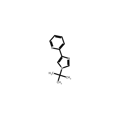 CC(C)(C)n1cnc(-c2ccccn2)c1